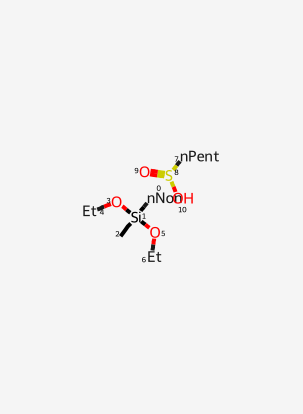 CCCCCCCCC[Si](C)(OCC)OCC.CCCCCS(=O)O